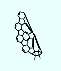 FC12C3C4C=CC5C6C=CC7C8C=CC9C%10C=CC%11C%12C%13=C%14C%15=C(C9C8C8=C%15C9=C(C6C87)C5C4C(=C9%14)C31C%131C%11C21F)C%10%12